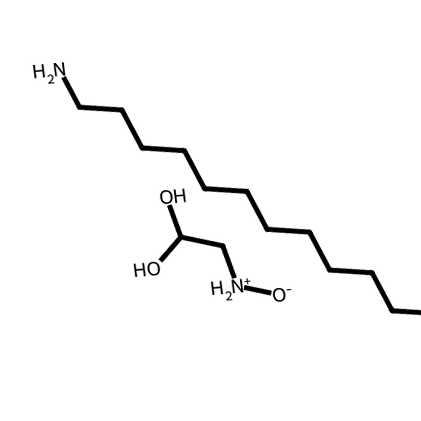 CCCCCCCCCCCCN.[O-][NH2+]CC(O)O